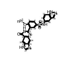 CCCOc1ccc(S(=O)(=O)Nc2ccc3[nH]ncc3c2)cc1-c1nc2cc3nc[nH]c3cc2c(=O)[nH]1